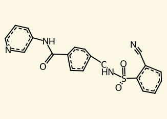 N#Cc1ccccc1S(=O)(=O)NCc1ccc(C(=O)Nc2cccnc2)cc1